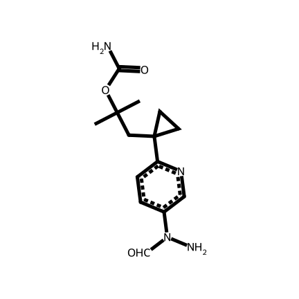 CC(C)(CC1(c2ccc(N(N)C=O)cn2)CC1)OC(N)=O